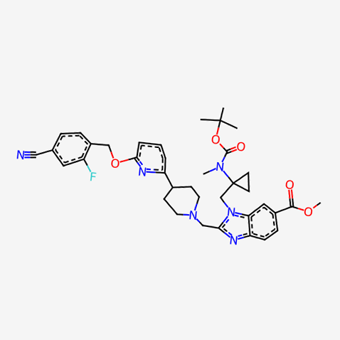 COC(=O)c1ccc2nc(CN3CCC(c4cccc(OCc5ccc(C#N)cc5F)n4)CC3)n(CC3(N(C)C(=O)OC(C)(C)C)CC3)c2c1